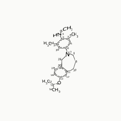 CNc1c(C)cc(N2CCCc3cc(OC(C)C)ccc3C2)cc1C